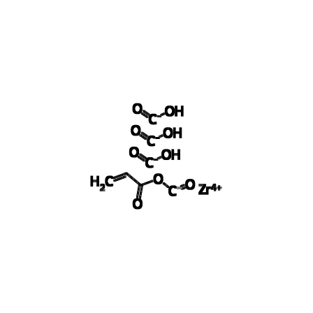 C=CC(=O)O[C-]=O.O=[C-]O.O=[C-]O.O=[C-]O.[Zr+4]